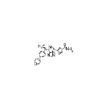 CN(c1ccc(N2CCOCC2)cc1)c1ncc(-c2cc(C(N)=O)co2)n2ncnc12